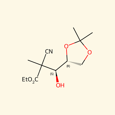 CCOC(=O)C(C)(C#N)[C@H](O)[C@H]1COC(C)(C)O1